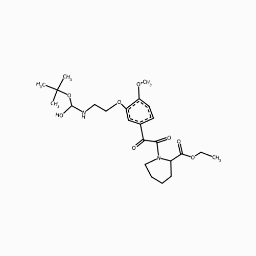 CCOC(=O)C1CCCCN1C(=O)C(=O)c1ccc(OC)c(OCCNC(O)OC(C)(C)C)c1